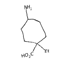 CCC1(C(=O)O)CCC(N)CC1